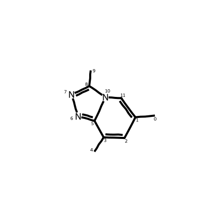 Cc1cc(C)c2nnc(C)n2c1